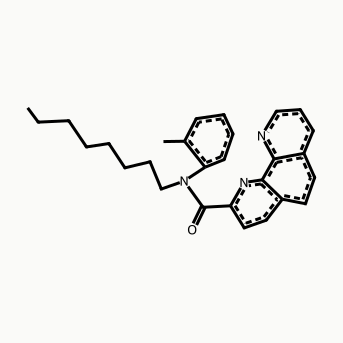 CCCCCCCCN(C(=O)c1ccc2ccc3cccnc3c2n1)c1ccccc1C